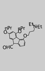 CCCOc1cc(OCCC)c2c(c1)C(C=O)c1cccc(OCCCN(CC)CC)c1-2